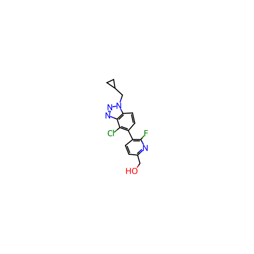 OCc1ccc(-c2ccc3c(nnn3CC3CC3)c2Cl)c(F)n1